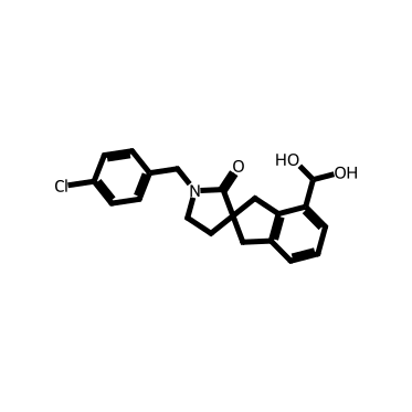 O=C1N(Cc2ccc(Cl)cc2)CCC12Cc1cccc(C(O)O)c1C2